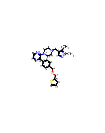 Cc1c(CN2CCN(c3nccnc3-c3ccc(COCC4CC=CS4)cc3)CC2)cnn1C